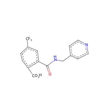 O=C(O)c1ccc(C(F)(F)F)cc1C(=O)NCc1ccncc1